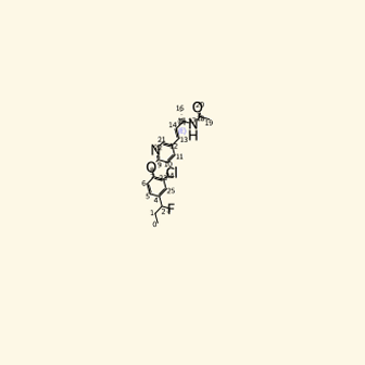 CCC(F)c1ccc(Oc2ccc(/C=C/[C@H](C)NC(C)=O)cn2)c(Cl)c1